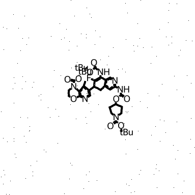 Cc1c(C2Cc3cc(NC(=O)OC4CCN(C(=O)OC(C)(C)C)CC4)ncc3C(NC(=O)OC(C)(C)C)=C2F)cnc2c1N(C(=O)OC(C)(C)C)CCO2